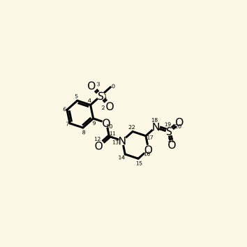 CS(=O)(=O)c1ccccc1OC(=O)N1CCOC(N=S(=O)=O)C1